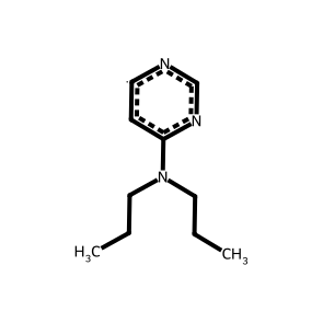 CCCN(CCC)c1c[c]ncn1